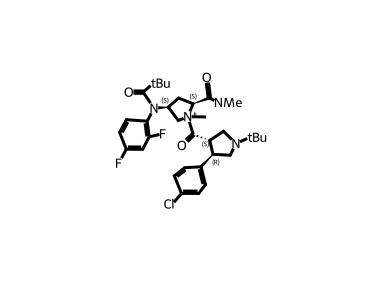 CNC(=O)[C@@H]1C[C@H](N(C(=O)C(C)(C)C)c2ccc(F)cc2F)C[N+]1(C)C(=O)[C@@H]1CN(C(C)(C)C)C[C@H]1c1ccc(Cl)cc1